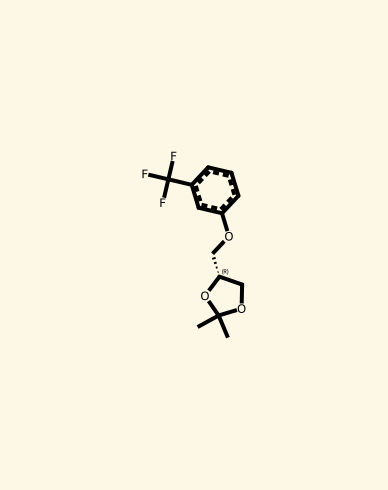 CC1(C)OC[C@@H](COc2cccc(C(F)(F)F)c2)O1